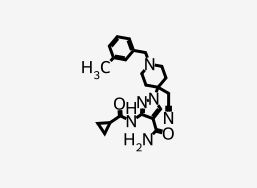 Cc1cccc(CN2CCC(CC#N)(n3cc(C(N)=O)c(NC(=O)C4CC4)n3)CC2)c1